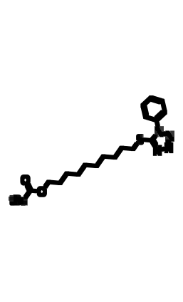 CC(C)(C)C(=O)OCCCCCCCCCCSc1nnnn1-c1ccccc1